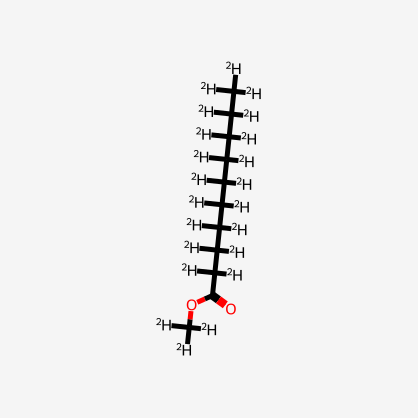 [2H]C([2H])([2H])OC(=O)C([2H])([2H])C([2H])([2H])C([2H])([2H])C([2H])([2H])C([2H])([2H])C([2H])([2H])C([2H])([2H])C([2H])([2H])C([2H])([2H])[2H]